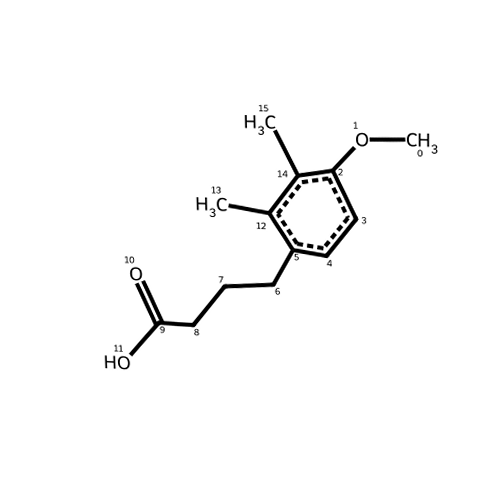 COc1ccc(CCCC(=O)O)c(C)c1C